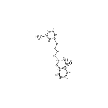 Cc1cccc(CCCCc2nc3ncccc3c(=O)[nH]2)c1